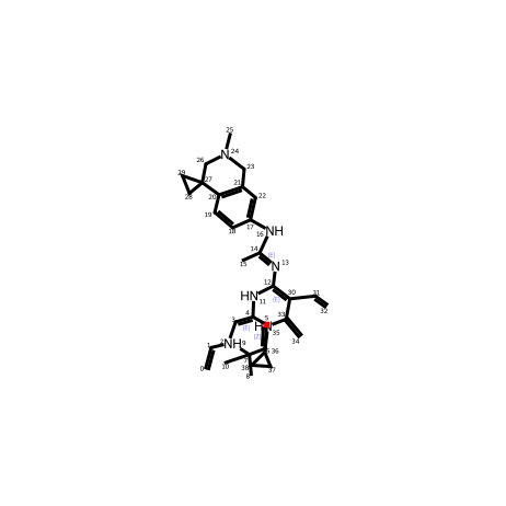 C=CN/C=C(\C=C/C(C)(C)C)NC(/N=C(\C)Nc1ccc2c(c1)CN(C)CC21CC1)=C(/C=C)C(=C)NC1CC1